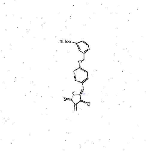 CCCCCCc1cccc(COc2ccc(/C=C3\SC(=S)NC3=O)cc2)c1